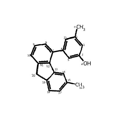 Cc1cc(O)cc(-c2cccc3c2-c2cc(C)ccc2C3)c1